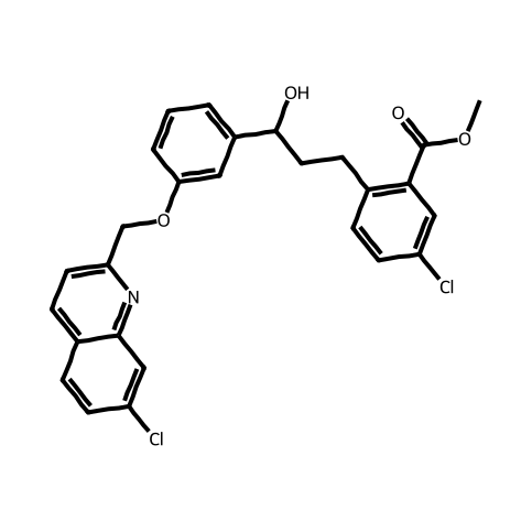 COC(=O)c1cc(Cl)ccc1CCC(O)c1cccc(OCc2ccc3ccc(Cl)cc3n2)c1